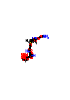 COC(CCn1cc(C#CNC(=O)OCCCCOCSSC(C)(C)CCOC(=O)NCCOCCOCCN)c(=O)[nH]c1=O)COP(=O)(O)OP(=O)(O)OP(=O)(O)O